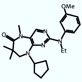 CCN(c1cccc(OC)c1)c1ncc2c(n1)N(C1CCCC1)CC(C)(C)C(=O)N2C